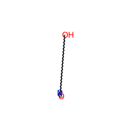 O=C=NCCCCCCCCCCCCCCCCCCCCCCCCCCCCCCCCCCCCO